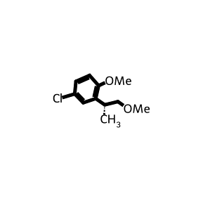 COC[C@H](C)c1cc(Cl)ccc1OC